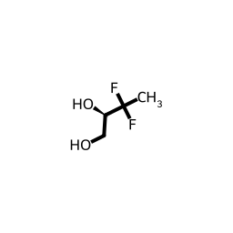 CC(F)(F)[C@H](O)CO